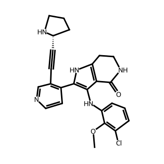 COc1c(Cl)cccc1Nc1c(-c2ccncc2C#C[C@H]2CCCN2)[nH]c2c1C(=O)NCC2